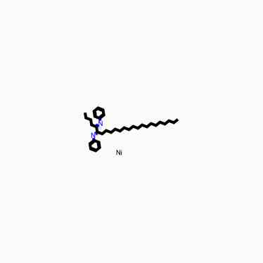 CCCCCCCCCCCCCCCCCCC(=N\c1ccccc1)/C(CCCC)=N/c1ccccc1.[Ni]